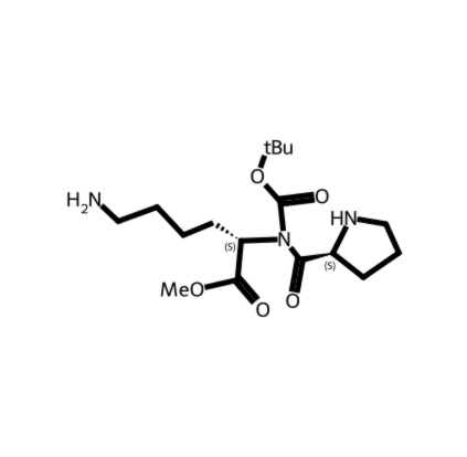 COC(=O)[C@H](CCCCN)N(C(=O)OC(C)(C)C)C(=O)[C@@H]1CCCN1